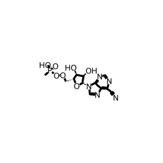 CP(=O)(O)OOC[C@H]1O[C@@H](n2cnc3c(C#N)ncnc32)[C@H](O)[C@@H]1O